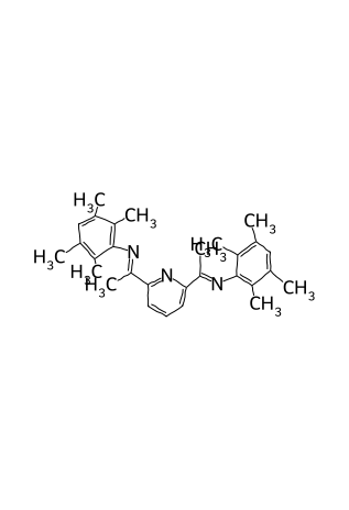 C/C(=N\c1c(C)c(C)cc(C)c1C)c1cccc(/C(C)=N/c2c(C)c(C)cc(C)c2C)n1